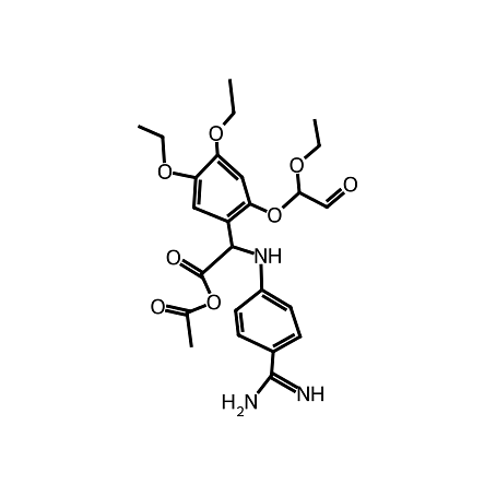 CCOc1cc(OC(C=O)OCC)c(C(Nc2ccc(C(=N)N)cc2)C(=O)OC(C)=O)cc1OCC